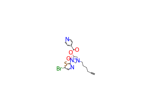 C#CCCCCN1CC(OC(=O)c2ccncc2)[N+]([O-])(c2ncc(Br)s2)C1